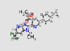 CCn1c(-c2ncc(-c3ccc(C4CC4)cc3)cc2S(=O)(=O)CC)nc2ncc(C(F)(F)F)cc21